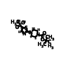 CC(C)(C)OC(=O)N1CCN(c2ncc(S(C)(=O)=O)s2)CC1